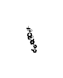 Cc1cc(N2CCC(N3CCCC3C)C2)ccc1N1CCC2(CCN(C(=O)OC(C)(C)I)CC2)C1=O